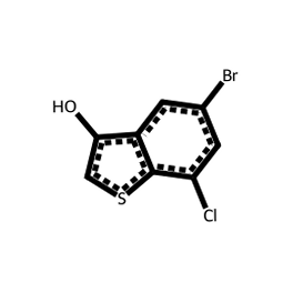 Oc1csc2c(Cl)cc(Br)cc12